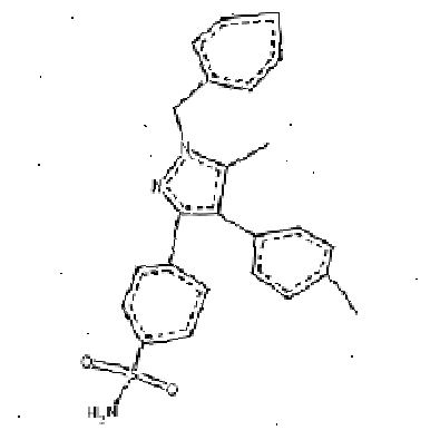 Cc1ccc(-c2c(-c3ccc(S(N)(=O)=O)cc3)nn(Cc3ccccc3)c2C)cc1